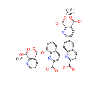 O=C([O-])c1ccc2ccccc2n1.O=C([O-])c1ccc2ccccc2n1.O=C([O-])c1cccnc1C(=O)[O-].O=C([O-])c1cccnc1C(=O)[O-].[Cu+2].[Cu+2].[Cu+2]